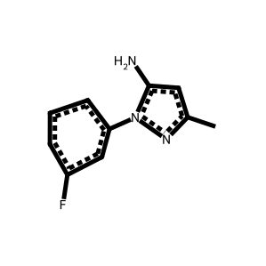 Cc1cc(N)n(-c2cccc(F)c2)n1